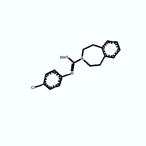 CSC(=Nc1ccc(Cl)cc1)N1CCc2ccccc2CC1